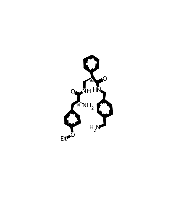 CCOc1ccc(C[C@@H](N)C(=O)NC[C@H](C(=O)NCc2ccc(CN)cc2)c2ccccc2)cc1